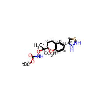 CC(C)(C)OC(=O)NO[C@](C)(C(=O)O)[C@H]1CCc2cc([C@@H]3CSNN3)ccc2O1